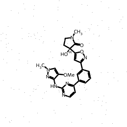 COc1cn(C)nc1Nc1nccc(-c2cccc(-c3cc([C@]4(O)CCN(C)C4=O)on3)c2)n1